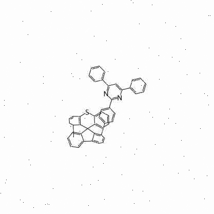 CC1CC=CC2=C1C1(c3ccccc3S2)c2ccccc2-c2cccc(-c3ccc(-c4nc(-c5ccccc5)cc(-c5ccccc5)n4)cc3)c21